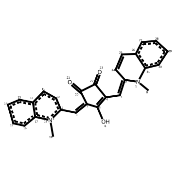 CN1C(=CC2=C(O)C(=Cc3ccc4ccccc4[n+]3C)C(=O)C2=O)C=Cc2ccccc21